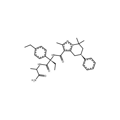 CCc1ccc([C@](CC)(NC(=O)c2c(C)nn3c2C[C@H](c2ccccc2)CC3(C)C)C(=O)NC(C)C(N)=O)cc1